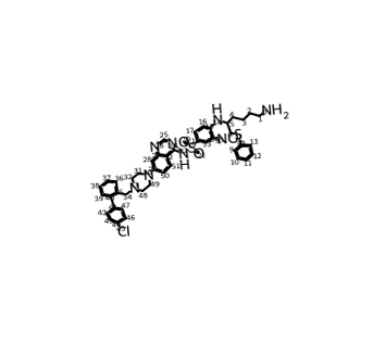 NCCCCC(CSc1ccccc1)Nc1ccc(S(=O)(=O)Nc2ncnc3cc(N4CCN(Cc5ccccc5-c5ccc(Cl)cc5)CC4)ccc23)cc1[N+](=O)[O-]